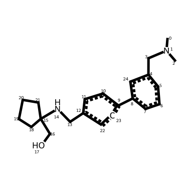 CN(C)Cc1cccc(-c2ccc(CNC3(CO)CCCC3)cc2)c1